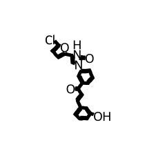 O=C(C=Cc1cccc(O)c1)c1cccc(-n2cc(-c3ccc(Cl)o3)[nH]c2=O)c1